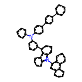 c1ccc(-c2ccc(-c3ccc(N(c4ccccc4)c4cccc(-c5cccc6c5c5ccccc5n6-c5cc6ccccc6c6ccccc56)c4)cc3)cc2)cc1